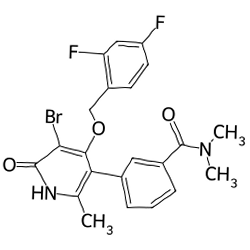 Cc1[nH]c(=O)c(Br)c(OCc2ccc(F)cc2F)c1-c1cccc(C(=O)N(C)C)c1